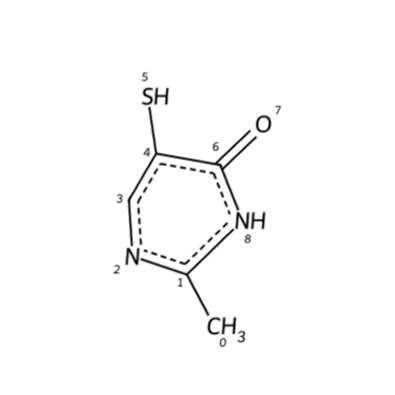 Cc1ncc(S)c(=O)[nH]1